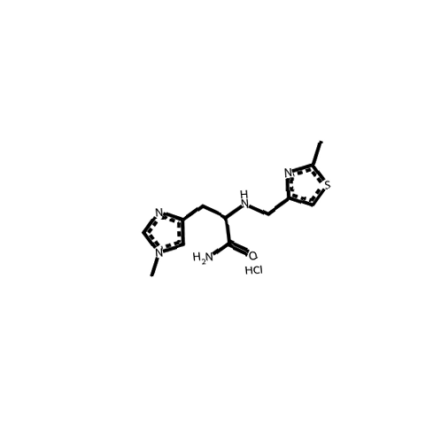 Cc1nc(CNC(Cc2cn(C)cn2)C(N)=O)cs1.Cl